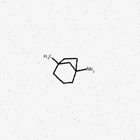 CC12CCCC(N)(CC1)C2